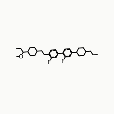 CCCC1CCC(c2ccc(-c3ccc(CCC4CCC(C(CC)OC)CC4)c(F)c3)c(F)c2)CC1